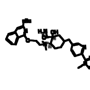 CCCCc1cc2ccccc2c(OCC[N+](C)(C)[C@H]2CCC(Cc3ccc(-c4nccn4C)nc3)C[C@@]2(O)C(N)=O)n1